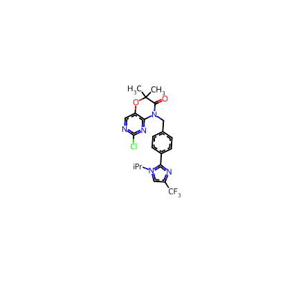 CC(C)n1cc(C(F)(F)F)nc1-c1ccc(CN2C(=O)C(C)(C)Oc3cnc(Cl)nc32)cc1